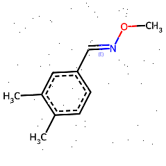 CO/N=C/c1ccc(C)c(C)c1